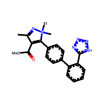 CC[N+]1(C)N=C(C)C(C(=O)OC)=C1c1ccc(-c2ccccc2-c2nnn[nH]2)cc1